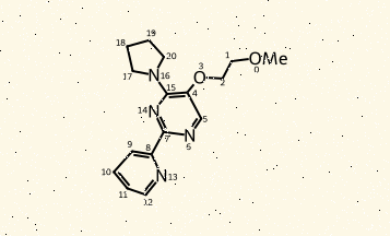 COCCOc1cnc(-c2ccccn2)nc1N1CCCC1